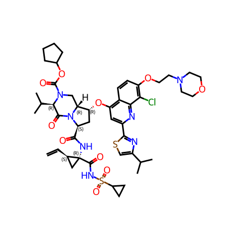 C=C[C@@H]1C[C@]1(NC(=O)[C@@H]1C[C@@H](Oc2cc(-c3nc(C(C)C)cs3)nc3c(Cl)c(OCCN4CCOCC4)ccc23)[C@H]2CN(C(=O)OC3CCCC3)[C@H](C(C)C)C(=O)N21)C(=O)NS(=O)(=O)C1CC1